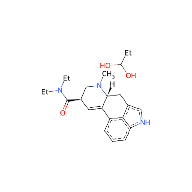 CCN(CC)C(=O)[C@@H]1C=C2c3cccc4[nH]cc(c34)C[C@H]2N(C)C1.[CH2]CC(O)O